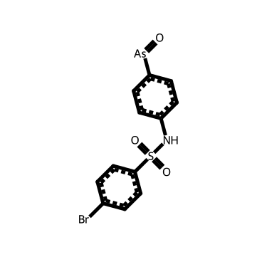 O=[As]c1ccc(NS(=O)(=O)c2ccc(Br)cc2)cc1